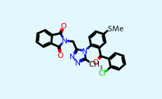 CSc1ccc(-n2c(C)nnc2CN2C(=O)c3ccccc3C2=O)c(C(=O)c2ccccc2Cl)c1